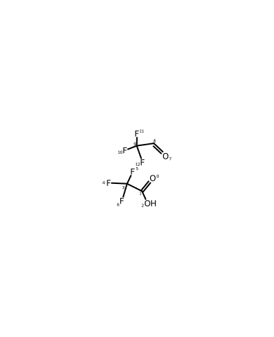 O=C(O)C(F)(F)F.O=CC(F)(F)F